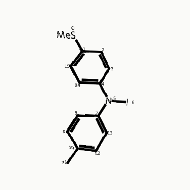 CSc1ccc(N(I)c2ccc(C)cc2)cc1